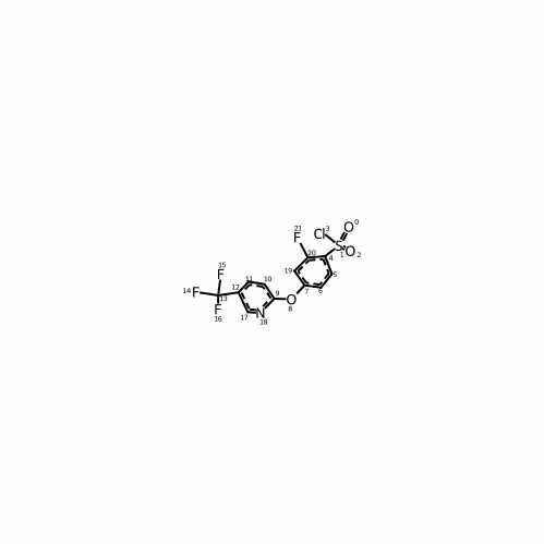 O=S(=O)(Cl)c1ccc(Oc2ccc(C(F)(F)F)cn2)cc1F